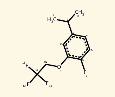 CC(C)c1ccc(F)c(OCC(F)(F)F)c1